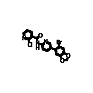 O=C(Nc1ccc(-c2cc3c(cc2Br)OCO3)cn1)c1cccnc1Cl